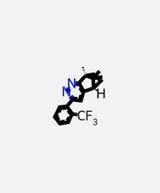 CC1(C)[C@H]2CC[C@]1(C)c1nnc(-c3ccccc3C(F)(F)F)cc12